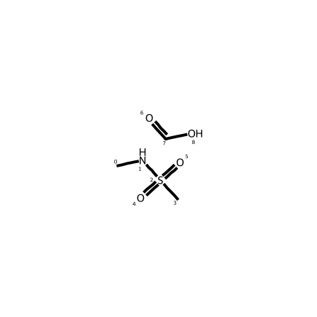 CNS(C)(=O)=O.O=CO